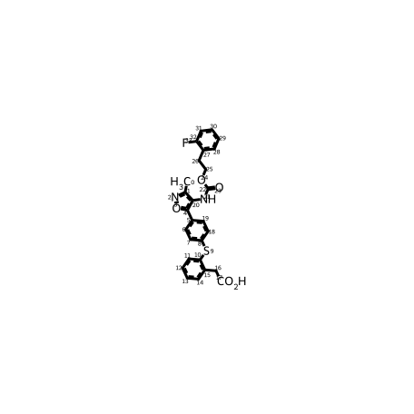 Cc1noc(-c2ccc(Sc3ccccc3CC(=O)O)cc2)c1NC(=O)OCCc1ccccc1F